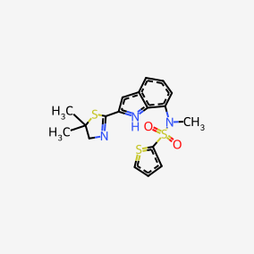 CN(c1cccc2cc(C3=NCC(C)(C)S3)[nH]c12)S(=O)(=O)c1cccs1